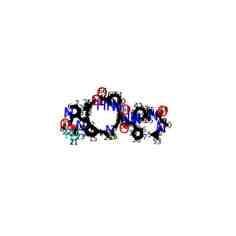 CO[C@@H](C)c1ncccc1-c1c2c3cc(ccc3n1CC(F)(F)F)-c1csc(n1)C[C@H](NC(=O)C(C1CCCC1)N1CCCC3(CN(C(=O)[C@H]4CN4C4CC4)C3)C1)C(=O)N1CCC[C@H](N1)C(=O)OCC(C)(C)C2